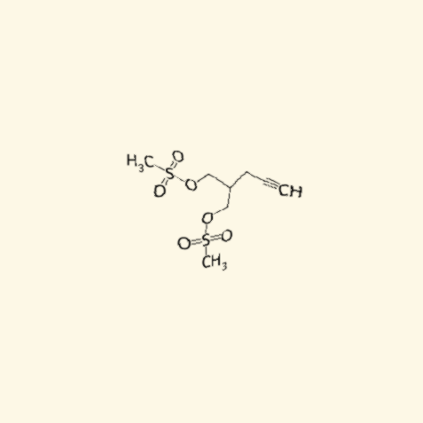 C#CCC(COS(C)(=O)=O)COS(C)(=O)=O